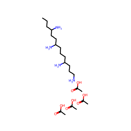 CC(=O)O.CC(=O)O.CC(=O)O.CC(=O)O.CCCC(N)CCC(N)CCCC(N)CCCN